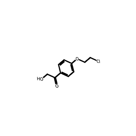 O=C(CO)c1ccc(OCCCl)cc1